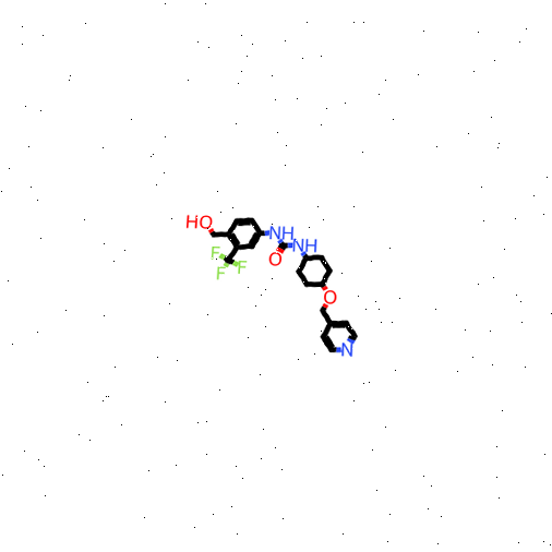 O=C(Nc1ccc(CO)c(C(F)(F)F)c1)NC1CCC(OCc2ccncc2)CC1